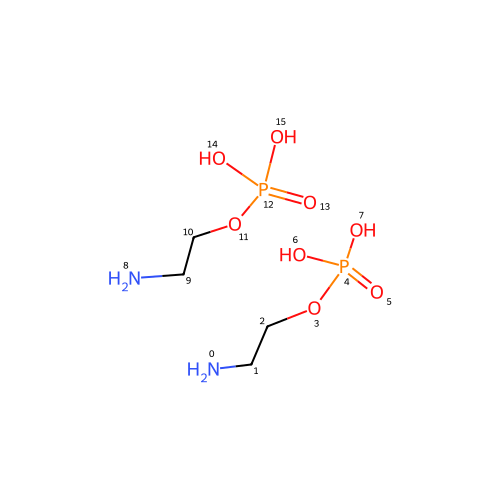 NCCOP(=O)(O)O.NCCOP(=O)(O)O